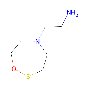 NCCN1CCOSCC1